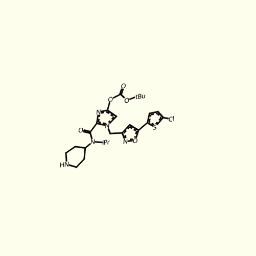 CC(C)N(C(=O)c1nc(OC(=O)OC(C)(C)C)cn1Cc1cc(-c2ccc(Cl)s2)on1)C1CCNCC1